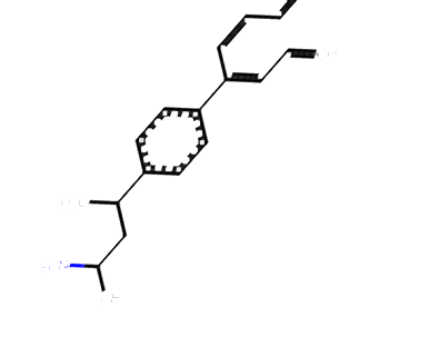 C=C/C=C\C(=C/C=C)c1ccc(C(C)CC(C)N)cc1